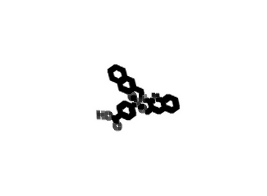 Cc1cc2ccccc2nc1N(Cc1ccc2c(c1)CCCC2)S(=O)(=O)c1ccc(C(=O)O)cc1